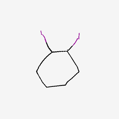 I[C]1CCCCC1I